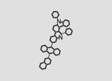 c1ccc(-c2nc3cc(-c4c5ccccc5c(-c5ccc6ccccc6c5)c5ccccc45)ccc3c3ccc4c(c5ccccc5n4-c4ccccc4)c23)cc1